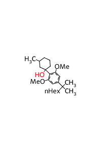 CCCCCCC(C)(C)c1cc(OC)c(C2(O)CCCC(C)C2)c(OC)c1